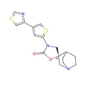 O=C1O[C@]2(CN3CCC2CC3)CN1c1cc(-c2cscn2)cs1